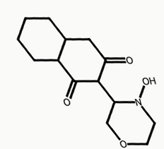 O=C1CC2CCCCC2C(=O)C1C1COCCN1O